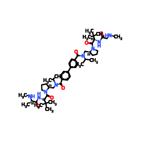 CNCC(=O)N[C@H](C(=O)N1CCC[C@H]1CN(C(=O)c1ccc(-c2ccc(C(=O)N(C[C@@H]3CCCN3C(=O)[C@@H](NC(=O)[C@H](C)NC)C(C)(C)C)C(C)C)cc2)cc1)C(C)C)C(C)(C)C